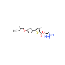 Cc1cc(-c2ccc(OCC(C)CC#N)cc2)sc1C(=O)Oc1c[nH]nn1